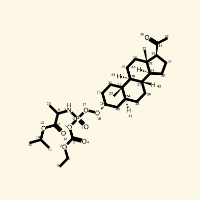 CCOC(=O)OP(=O)(NC(C)C(=O)OC(C)C)OO[C@@H]1CC[C@@]2(C)[C@@H](CC[C@@H]3[C@@H]2CC[C@]2(C)[C@@H](C(C)=O)CC[C@@H]32)C1